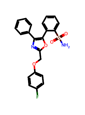 NS(=O)(=O)c1ccccc1-c1oc(COc2ccc(F)cc2)nc1-c1ccccc1